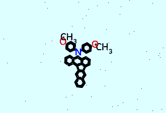 COc1ccc(N(c2ccc(OC)cc2)c2c3ccccc3c3c4c(cccc24)-c2cc4ccccc4cc2-3)cc1